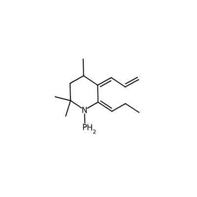 C=C/C=C1\C(=C/CC)N(P)C(C)(C)CC1C